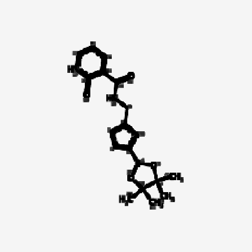 CC1(C)OB(c2ccc(CNC(=O)c3ccc[nH]c3=O)s2)OC1(C)C